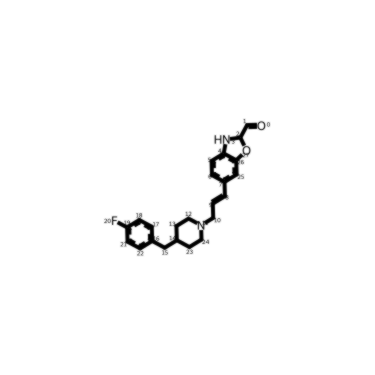 O=CC1Nc2ccc(C=CCN3CCC(Cc4ccc(F)cc4)CC3)cc2O1